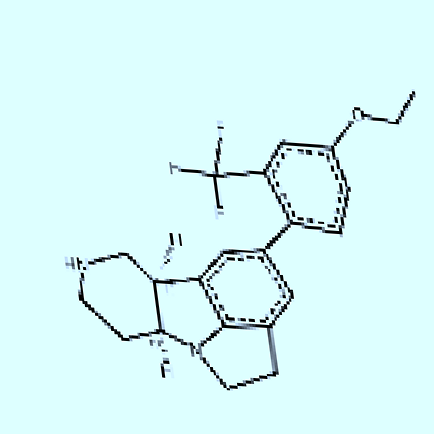 CCOc1ccc(-c2cc3c4c(c2)[C@@H]2CNCC[C@@H]2N4CC3)c(C(F)(F)F)c1